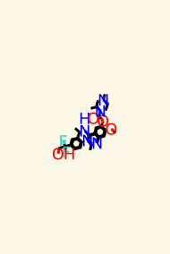 COc1cc2nc(C)nc(NC(C)c3cccc(C(F)(F)CO)c3)c2cc1OC(=O)N1CCN(C)CC1C